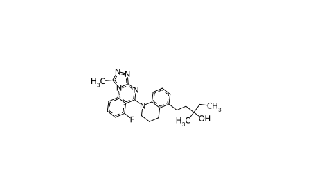 CCC(C)(O)CCc1cccc2c1CCCN2c1nc2nnc(C)n2c2cccc(F)c12